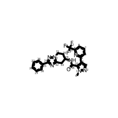 Cn1ncc(-c2cccc(C(F)(F)F)n2)c1C(=O)NC1CCn2nc(-c3ccccc3)nc2C1